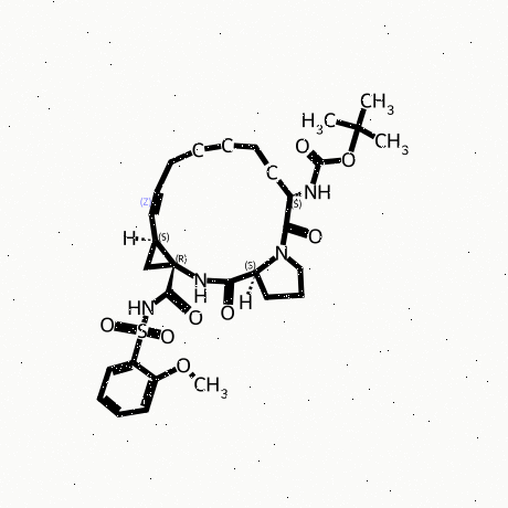 COc1ccccc1S(=O)(=O)NC(=O)[C@@]12C[C@H]1/C=C\CCCCC[C@H](NC(=O)OC(C)(C)C)C(=O)N1CCC[C@H]1C(=O)N2